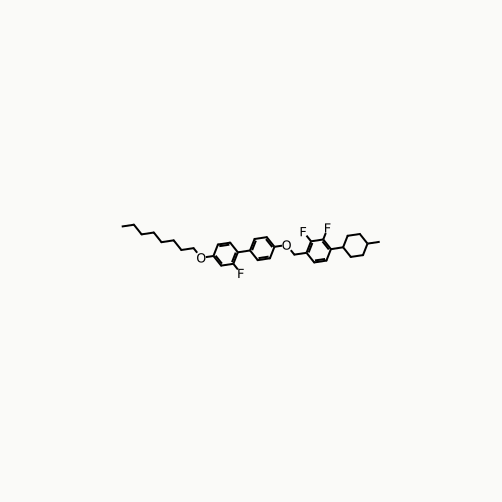 CCCCCCCCOc1ccc(-c2ccc(OCc3ccc(C4CCC(C)CC4)c(F)c3F)cc2)c(F)c1